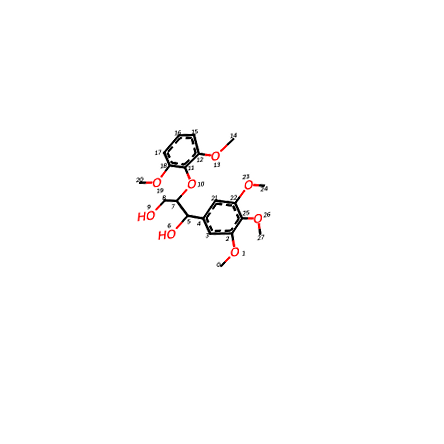 COc1cc(C(O)C(CO)Oc2c(OC)cccc2OC)cc(OC)c1OC